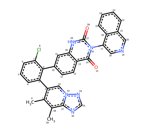 Cc1c(-c2cccc(Cl)c2-c2ccc3c(=O)n(-c4cncc5ccccc45)c(=O)[nH]c3c2)cn2ncnc2c1C